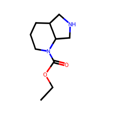 CCOC(=O)N1CCCC2CNCC21